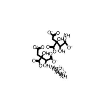 O=C([O-])CC(O)(C(=O)[O-])C(O)C(=O)[O-].O=C([O-])CC(O)(C(=O)[O-])C(O)C(=O)[O-].[KH].[KH].[KH].[Mg+2].[Mg+2].[Mg+2]